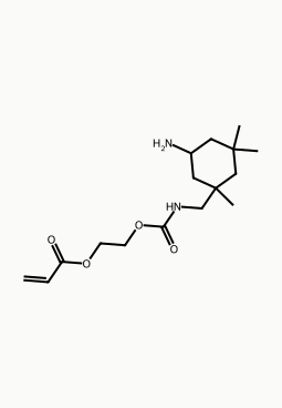 C=CC(=O)OCCOC(=O)NCC1(C)CC(N)CC(C)(C)C1